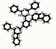 c1ccc(C2=NC(c3ccccc3)NC(c3cc(-c4nc(-c5ccccc5)c5oc6ccccc6c5n4)ccc3-c3ccc4sc5ccccc5c4c3)=N2)cc1